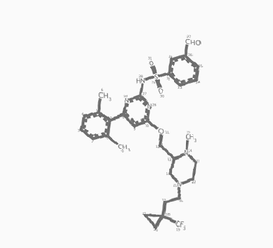 Cc1cccc(C)c1-c1cc(OCC2CN(CCC3(C(F)(F)F)CC3)CCN2C)nc(NS(=O)(=O)c2cccc(C=O)c2)n1